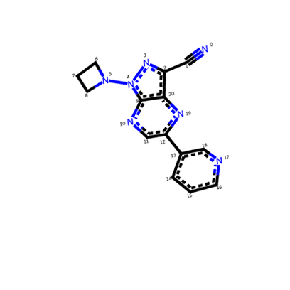 N#Cc1nn(N2CCC2)c2ncc(-c3cccnc3)nc12